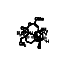 BC12C=C(OC)OC(=O)[C@@H]3[C@@]14OC(=O)[C@@H](C2)C(C)(C)[C@@H]4CC[C@@]3(C)C=C